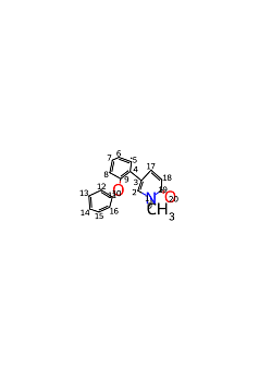 Cn1cc(-c2[c]cccc2Oc2ccccc2)ccc1=O